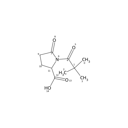 CC(C)(C)C(=O)N1C(=O)CCC1C(=O)O